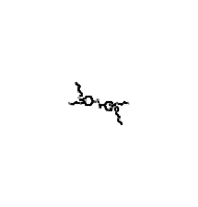 CCCCO[Si]1(CCCC)CCC(SSC2CC[Si](CCCC)(OCCCC)CC2)CC1